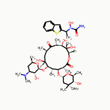 CC(c1cc2ccccc2s1)N(O)C(N)=O.CC[C@H]1OC(=O)[C@H](C)[C@@H](O[C@H]2C[C@@](C)(OC)[C@@H](O)[C@H](C)O2)[C@H](C)[C@@H](O[C@@H]2O[C@H](C)C[C@H](N(C)C)[C@H]2O)[C@](C)(O)C[C@@H](C)C(=O)[C@H](C)[C@@H](O)[C@]1(C)O